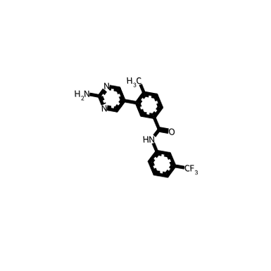 Cc1ccc(C(=O)Nc2cccc(C(F)(F)F)c2)cc1-c1cnc(N)nc1